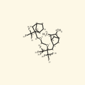 CC1C2CC(CC(OCOCC3(C(F)(F)F)CC4CCC3C4)(C(F)(F)F)C(F)(F)F)C(C2)C1C